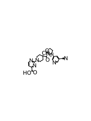 CC1(C(=O)N2OCC[C@H]2c2cncc(C#N)c2)CCN(c2nccc(C(=O)O)n2)CC1